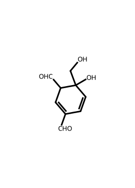 O=CC1=CC(C=O)C(O)(CO)C=C1